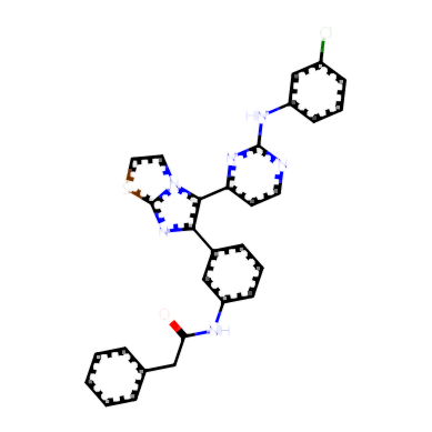 O=C(Cc1ccccc1)Nc1cccc(-c2nc3sccn3c2-c2ccnc(Nc3cccc(Cl)c3)n2)c1